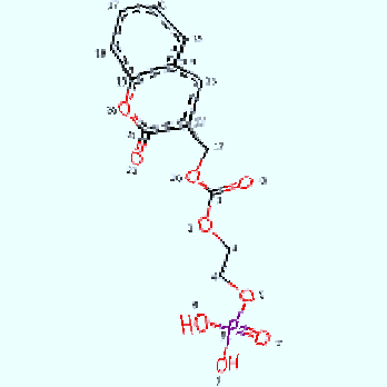 O=C(OCCOP(=O)(O)O)OCc1cc2ccccc2oc1=O